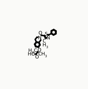 Cc1nc(-c2ccccc2)sc1C(=O)N1CCc2ccc(OC(C)(C)C(=O)O)cc2C1